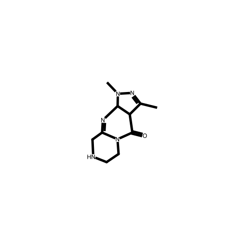 CC1=NN(C)C2N=C3CNCCN3C(=O)C12